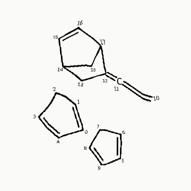 C1=CCC=C1.C1=CCC=C1.C=C=C1CC2C=CC1C2